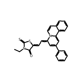 CCN1C(=O)C(=CC=C2C=C(c3ccccc3)C=C3c4ccccc4C=CN23)SC1=S